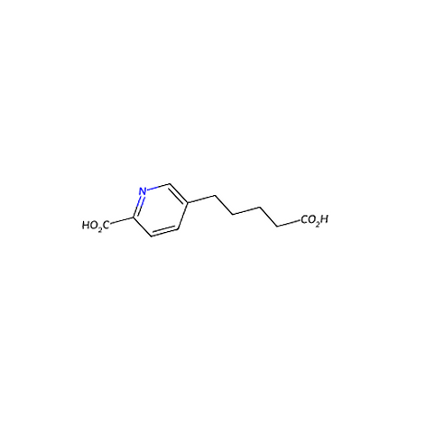 O=C(O)CCCCc1ccc(C(=O)O)nc1